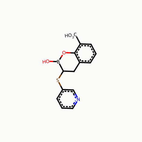 O=C(O)c1cccc2c1OB(O)C(Sc1cccnc1)C2